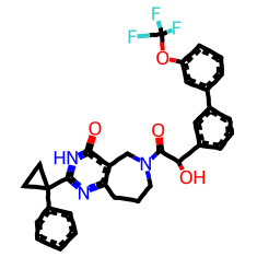 O=C(C(O)c1cccc(-c2cccc(OC(F)(F)F)c2)c1)N1CCCc2nc(C3(c4ccccc4)CC3)[nH]c(=O)c2C1